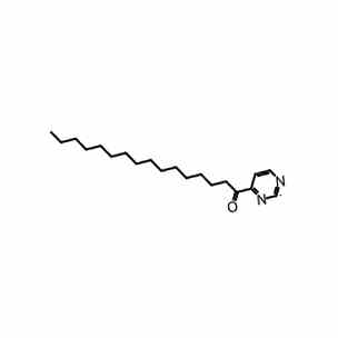 CCCCCCCCCCCCCCCC(=O)c1ccn[c]n1